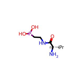 CC(C)[C@H](N)C(=O)NCCP(O)O